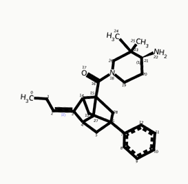 CC/C=C1/C2CC3(c4ccccc4)CC1C(C(=O)N1CC[C@H](N)C(C)(C)C1)(C2)C3